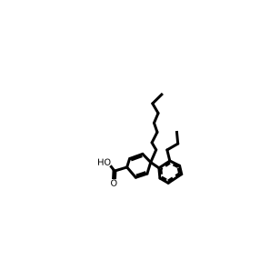 CCCCCCCC1(c2ccccc2CCC)C=CC(C(=O)O)C=C1